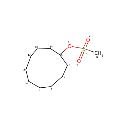 CS(=O)(=O)OC1CCCCCCCCC1